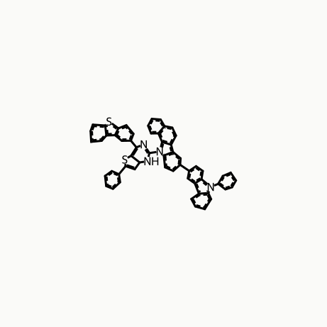 C1=C(c2ccccc2)SC2=C(c3ccc4sc5ccccc5c4c3)N=C(n3c4ccc(-c5ccc6c(c5)c5ccccc5n6-c5ccccc5)cc4c4ccc5ccccc5c43)NC12